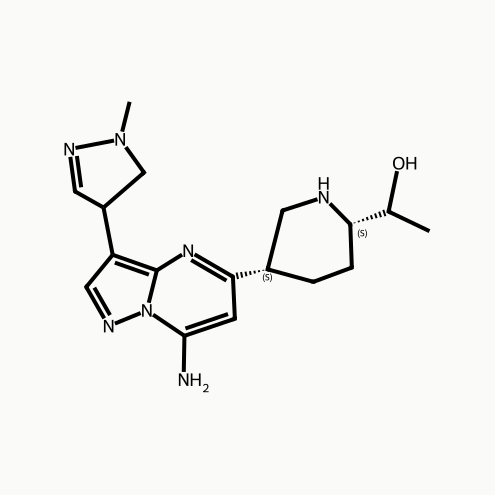 CC(O)[C@@H]1CC[C@H](c2cc(N)n3ncc(C4C=NN(C)C4)c3n2)CN1